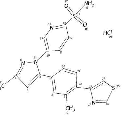 Cc1cc(-c2cc(C(F)(F)F)nn2-c2ccc(S(N)(=O)=O)nc2)ccc1-c1cscn1.Cl